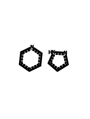 c1ccncc1.c1cn[nH]c1